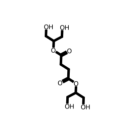 O=C(CCC(=O)OC(CO)CO)OC(CO)CO